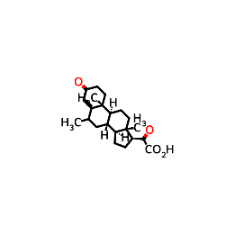 CC1C[C@H]2[C@@H]3CC[C@H](C(=O)C(=O)O)[C@@]3(C)CC[C@@H]2[C@@]2(C)CCC(=O)C=C12